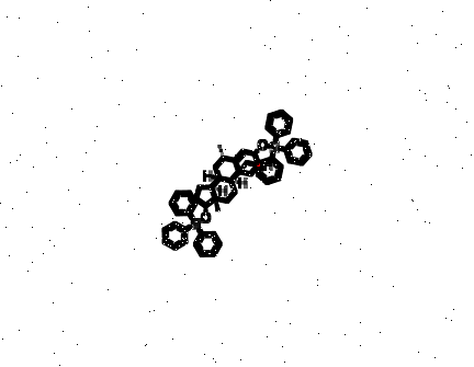 C[C@H]1C[C@@H]2[C@H](CC[C@]3(C)[C@@H](O[Si](c4ccccc4)(c4ccccc4)c4ccccc4)CC[C@@H]23)[C@@]2(CO)CC[C@H](O[Si](c3ccccc3)(c3ccccc3)c3ccccc3)C=C12